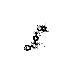 NCC(NC(=O)c1ccc(-c2nc(C3CCOCC3)cnc2N)cc1F)c1cc(F)cc(I)c1